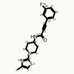 Cc1csc(N2CCC(NC(=O)C#Cc3cccc(F)c3)CC2)n1